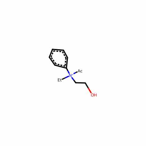 CC[N+](CCO)(C(C)=O)c1ccccc1